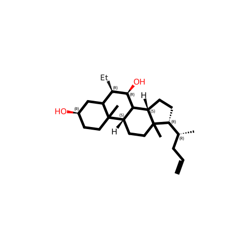 C=CC[C@@H](C)[C@H]1CC[C@H]2C3[C@H](O)[C@H](CC)C4C[C@H](O)CCC4(C)[C@H]3CCC12C